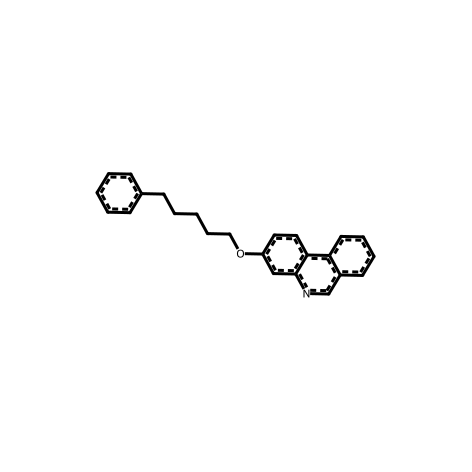 c1ccc(CCCCCOc2ccc3c(c2)ncc2ccccc23)cc1